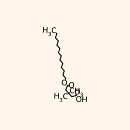 CCCCCCCCCCCCCCOC(=O)CC(C)(C)CC(=O)O